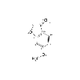 C=C1COc2cc(OC)ccc21